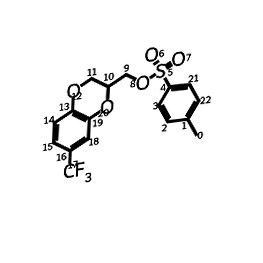 Cc1ccc(S(=O)(=O)OCC2COc3ccc(C(F)(F)F)cc3O2)cc1